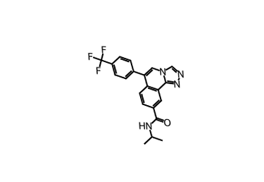 CC(C)NC(=O)c1ccc2c(-c3ccc(C(F)(F)F)cc3)cn3cnnc3c2c1